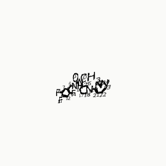 CN(C(=O)NCc1cc(F)c(F)cc1F)[C@@H]1CCCN(c2cccnn2)C1